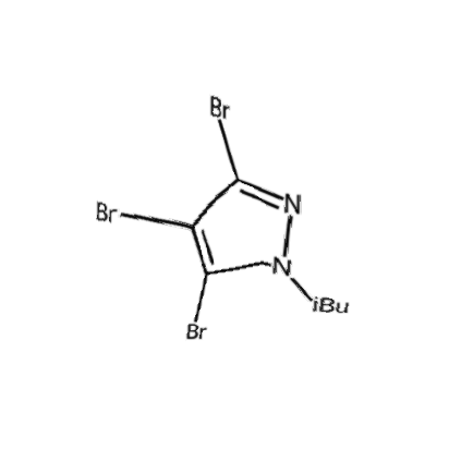 CCC(C)n1nc(Br)c(Br)c1Br